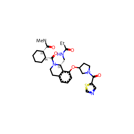 CCC(=O)NC[C@@H]1c2c(cccc2OC2CCN(C(=O)c3cncs3)C2)CCN1C(=O)[C@@H]1CCCC[C@@H]1C(=O)NC